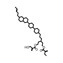 C=C(CC)C(=O)OCCC(CCCC1CCC(C2CCC(C3CCC4CC(CC/C=C/C)CCC4C3)CC2)CC1)CCOC(=O)C(=C)CO